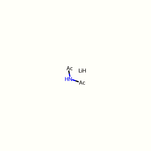 CC(=O)NC(C)=O.[LiH]